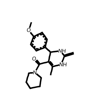 C=C1NC(C)=C(C(=O)N2CCCCC2)C(c2ccc(OC)cc2)N1